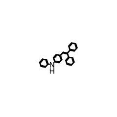 C(=C(c1ccccc1)c1ccccc1)c1ccc(Nc2ccccc2)cc1